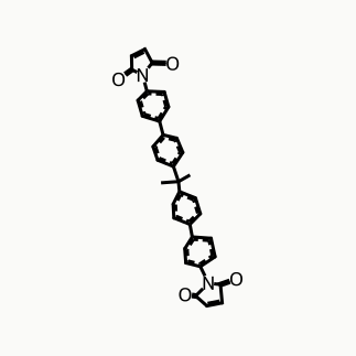 CC(C)(c1ccc(-c2ccc(N3C(=O)C=CC3=O)cc2)cc1)c1ccc(-c2ccc(N3C(=O)C=CC3=O)cc2)cc1